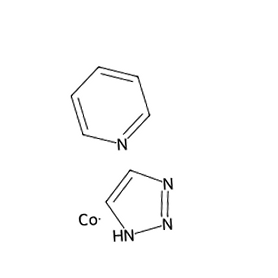 [Co].c1c[nH]nn1.c1ccncc1